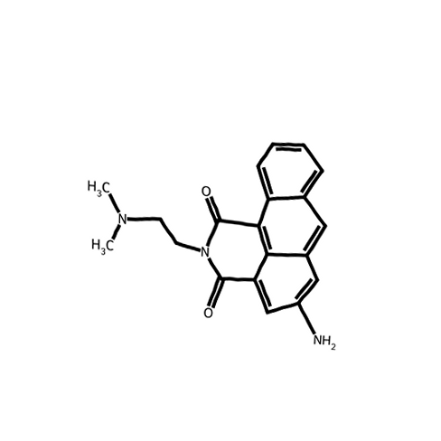 CN(C)CCN1C(=O)c2cc(N)cc3cc4ccccc4c(c23)C1=O